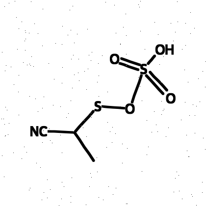 CC(C#N)SOS(=O)(=O)O